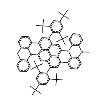 CN1c2ccccc2B2c3c(cccc31)-c1cc(-c3c(C(C)(C)C)cc(C(C)(C)C)cc3C(C)(C)C)c3cc4c5c(cc(-c6c(C(C)(C)C)cc(C(C)(C)C)cc6C(C)(C)C)c6cc2c1c3c65)-c1cccc2c1B4c1ccccc1C2